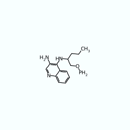 CCCC(COP)Nc1c(N)cnc2ccccc12